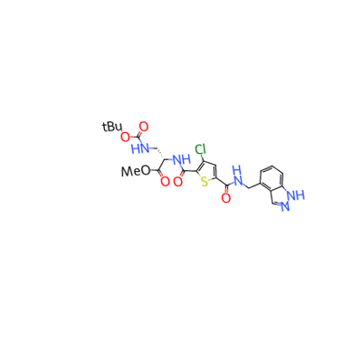 COC(=O)[C@H](CNC(=O)OC(C)(C)C)NC(=O)c1sc(C(=O)NCc2cccc3[nH]ncc23)cc1Cl